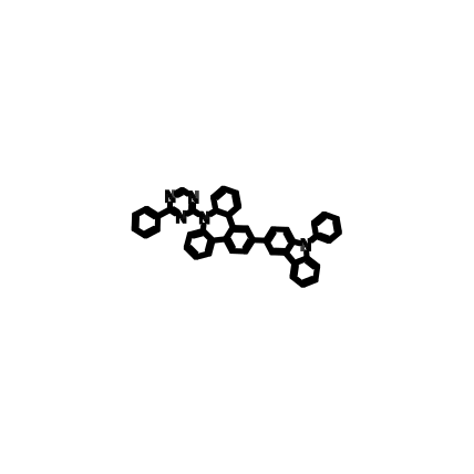 C1=CC2c3cc(-c4ccc5c(c4)c4ccccc4n5-c4ccccc4)ccc3-c3ccccc3N(c3ncnc(-c4ccccc4)n3)C2C=C1